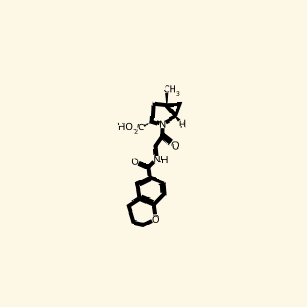 C[C@@]12C[C@@H]1N(C(=O)CNC(=O)c1ccc3c(c1)CCCO3)[C@H](C(=O)O)C2